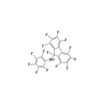 Fc1c(F)c(F)c(BC2(F)c3c(F)c(F)c(F)c(F)c3-c3c(F)c(F)c(F)c(F)c32)c(F)c1F